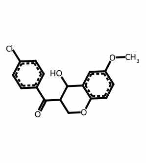 COc1ccc2c(c1)C(O)C(C(=O)c1ccc(Cl)cc1)CO2